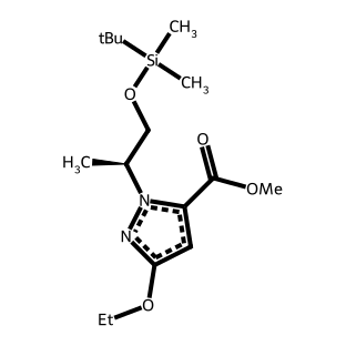 CCOc1cc(C(=O)OC)n([C@@H](C)CO[Si](C)(C)C(C)(C)C)n1